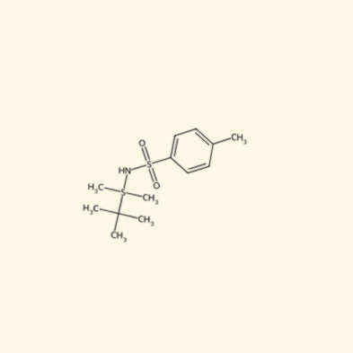 Cc1ccc(S(=O)(=O)NS(C)(C)C(C)(C)C)cc1